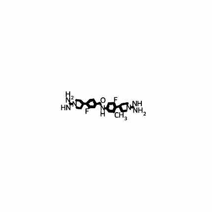 Cc1cc(NC(=O)c2ccc(C3=CCN(C(=N)N)CC3)c(F)c2)cc(F)c1C1=CCN(C(=N)N)CC1